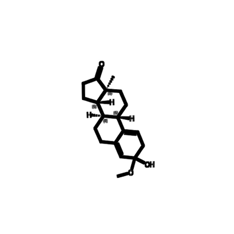 COC1(O)C=C2CC[C@@H]3[C@H](CC[C@]4(C)C(=O)CC[C@@H]34)C2=CC1